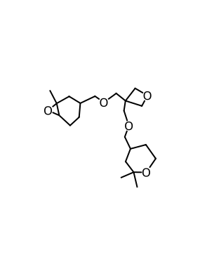 CC1(C)CC(COCC2(COCC3CCC4OC4(C)C3)COC2)CCO1